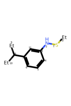 CCSNc1cccc(C(CC)CC)c1